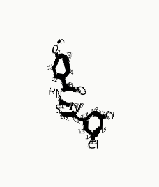 COc1ccc(C(=O)Nc2nc(-c3cc(Cl)cc(Cl)c3)cs2)cc1